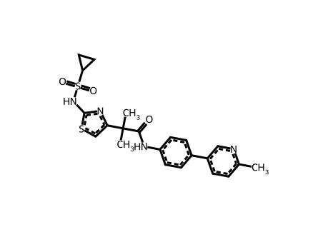 Cc1ccc(-c2ccc(NC(=O)C(C)(C)c3csc(NS(=O)(=O)C4CC4)n3)cc2)cn1